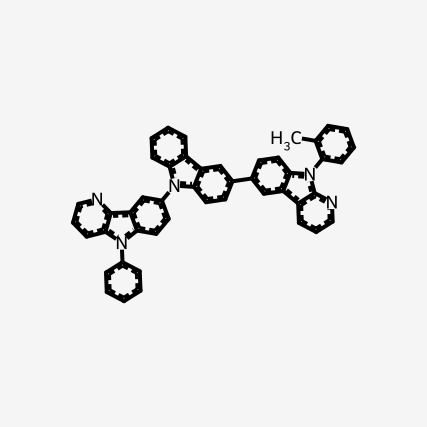 Cc1ccccc1-n1c2ccc(-c3ccc4c(c3)c3ccccc3n4-c3ccc4c(c3)c3ncccc3n4-c3ccccc3)cc2c2cccnc21